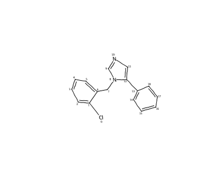 Clc1ccccc1Cn1cncc1-c1ccccc1